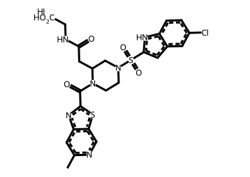 Cc1cc2nc(C(=O)N3CCN(S(=O)(=O)c4cc5cc(Cl)ccc5[nH]4)CC3CC(=O)NCC(=O)O)sc2cn1.I